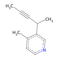 CC#CC(C)c1cnccc1C